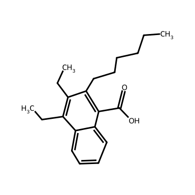 CCCCCCc1c(CC)c(CC)c2ccccc2c1C(=O)O